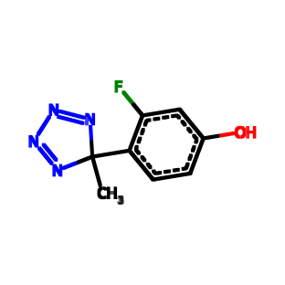 CC1(c2ccc(O)cc2F)N=NN=N1